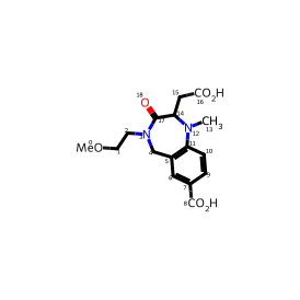 COCCN1Cc2cc(C(=O)O)ccc2N(C)C(CC(=O)O)C1=O